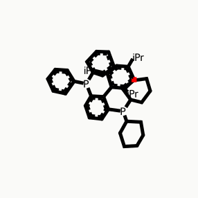 CC(C)c1cc(C(C)C)c(-c2c(P(c3ccccc3)c3ccccc3)cccc2P(C2CCCCC2)C2CCCCC2)c(C(C)C)c1